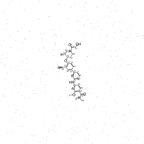 COc1nc(Nc2nccc(-c3ccc(O[C@H]4CCN(C(=O)CO)C[C@H]4F)c(C#N)c3)n2)ccc1C(=O)N(C)C